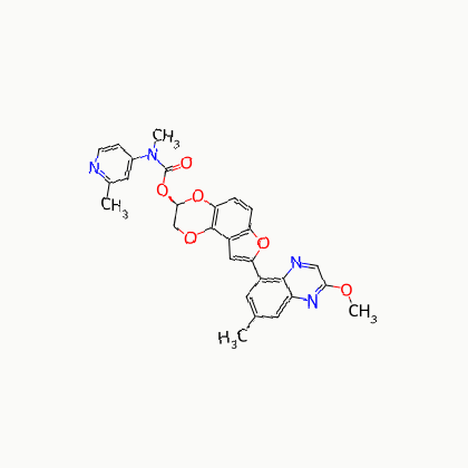 COc1cnc2c(-c3cc4c5c(ccc4o3)O[C@H](OC(=O)N(C)c3ccnc(C)c3)CO5)cc(C)cc2n1